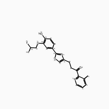 Cc1cccnc1C(=O)CCc1coc(-c2ccc(O)c(OCC(F)F)c2)n1